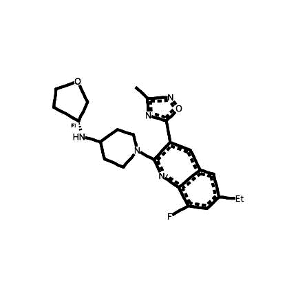 CCc1cc(F)c2nc(N3CCC(N[C@@H]4CCOC4)CC3)c(-c3nc(C)no3)cc2c1